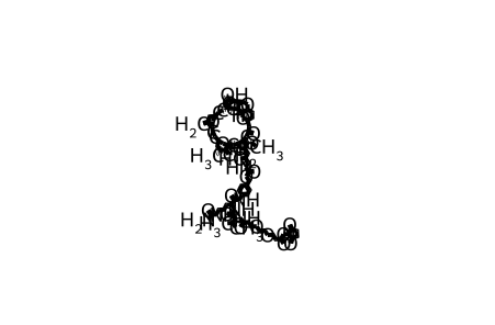 C=C1CC2CC[C@]34C[C@@H](O)C(O3)C3CC(O4)[C@H]4OC(CCC4O3)CC(=O)CC3[C@@H](OC)C(CC(O)CNC(=O)OCc4ccc(NC(=O)C(CCCNC(N)=O)NC(=O)[C@@H](NC(=O)CCOCCOCCC(=O)ON5C(=O)CCC5=O)C(C)C)cc4)O[C@H]3CC3OC(CCC1O2)C[C@@H](C)C3=C